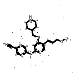 COCC=Cc1cnc(Nc2cnc(C#N)cn2)cc1NCC1CCNCC1